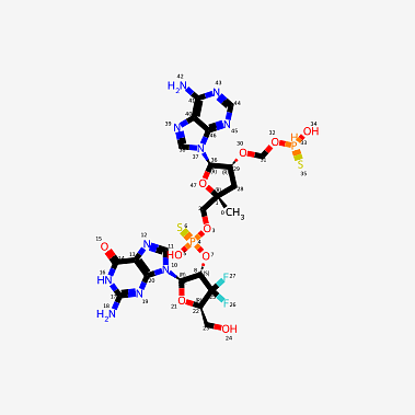 C[C@]1(COP(O)(=S)O[C@H]2[C@H](n3cnc4c(=O)[nH]c(N)nc43)O[C@H](CO)C2(F)F)C[C@@H](OCO[PH](O)=S)[C@H](n2cnc3c(N)ncnc32)O1